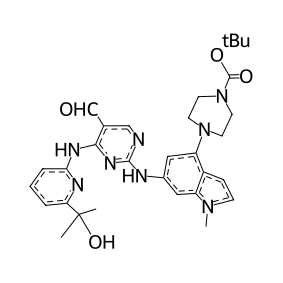 Cn1ccc2c(N3CCN(C(=O)OC(C)(C)C)CC3)cc(Nc3ncc(C=O)c(Nc4cccc(C(C)(C)O)n4)n3)cc21